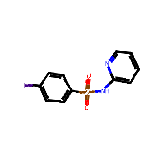 O=S(=O)(Nc1ccccn1)c1ccc(I)cc1